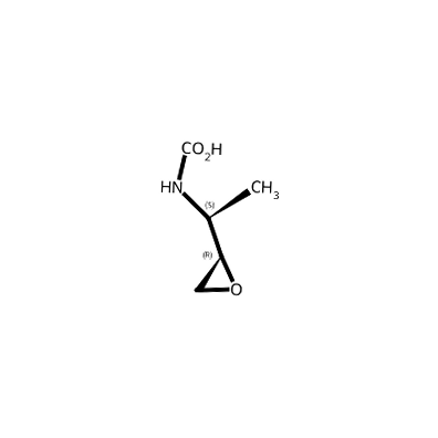 C[C@H](NC(=O)O)[C@@H]1CO1